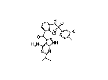 Cc1ccc(S(=O)(=O)Nc2cccc(C(=O)c3c[nH]c4nc(C(C)C)nc(N)c34)c2Cl)cc1Cl